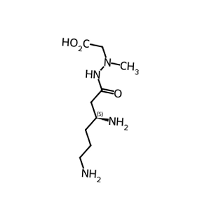 CN(CC(=O)O)NC(=O)C[C@@H](N)CCCN